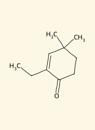 CCC1=CC(C)(C)CCC1=O